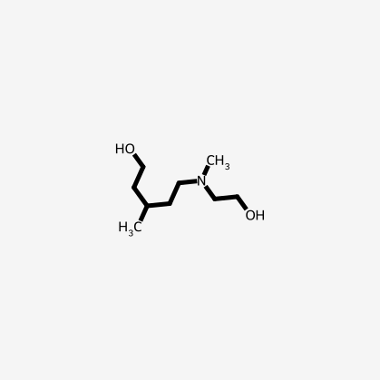 CC(CCO)CCN(C)CCO